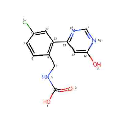 O=C(O)NCc1ccc(Cl)cc1-c1cc(O)ncn1